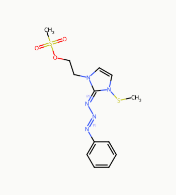 CSn1ccn(CCOS(C)(=O)=O)/c1=N/N=N/c1ccccc1